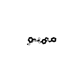 COc1cccc(CNC(=O)Oc2ccc3c(c2)CCN3Cc2ccccc2)c1